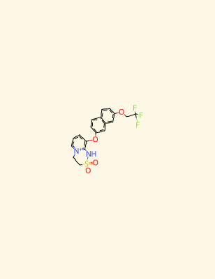 O=S1(=O)CC[n+]2cccc(Oc3ccc4ccc(OCC(F)(F)F)cc4c3)c2N1